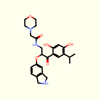 CC(C)c1cc(C(=O)C(CNC(=O)CN2CCOCC2)Oc2ccc3c(c2)CNC3)c(O)cc1O